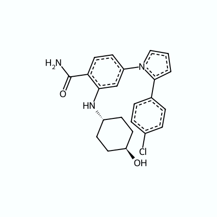 NC(=O)c1ccc(-n2cccc2-c2ccc(Cl)cc2)cc1N[C@H]1CC[C@H](O)CC1